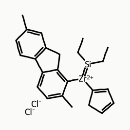 CC[Si](CC)=[Zr+2]([C]1=CC=CC1)[c]1c(C)ccc2c1Cc1cc(C)ccc1-2.[Cl-].[Cl-]